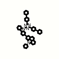 c1ccc(-c2ccc(-c3nc(-c4ccc(-c5ccccc5)cc4)nc(-n4c5ccccc5c5ccc(-c6cc7ccc8cccc9c8c7c(c6)n9-c6ccccc6)cc54)n3)cc2)cc1